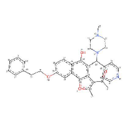 CC(=O)c1c(C)oc2c1c(C(c1ccncc1)N1CCN(C)CC1)c(O)c1ccc(OCCc3ccccc3)cc12